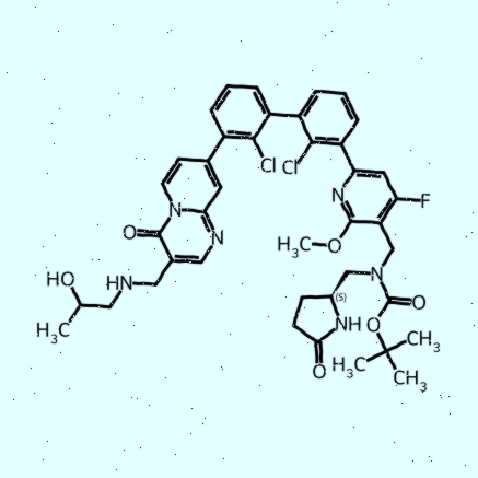 COc1nc(-c2cccc(-c3cccc(-c4ccn5c(=O)c(CNCC(C)O)cnc5c4)c3Cl)c2Cl)cc(F)c1CN(C[C@@H]1CCC(=O)N1)C(=O)OC(C)(C)C